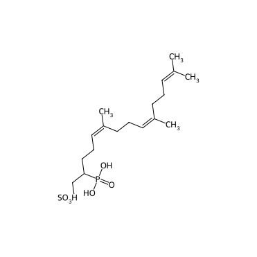 CC(C)=CCCC(C)=CCCC(C)=CCCC(CS(=O)(=O)O)P(=O)(O)O